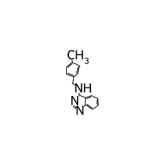 Cc1ccc(CNc2ncnc3ccccc23)cc1